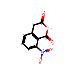 O=C1Cc2cccc([N+](=O)[O-])c2C(=O)O1